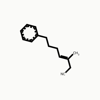 C/C(=C\CCCc1ccccc1)CC#N